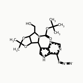 CC(C)(C)OC(=O)N1C(CO)C2OC(C)(C)OC2C1c1c[nH]c2c(N=[N+]=[N-])ncnc12